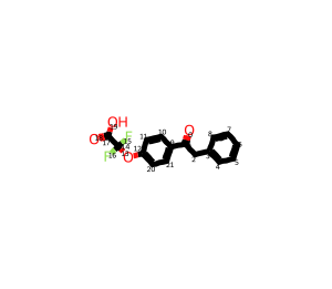 O=C(Cc1ccccc1)c1ccc(OC(F)(F)C(=O)O)cc1